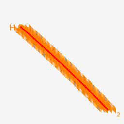 PPPPPPPPPPPPPPPPPPPPPPPPPPPPPPPPPPPPPPPPPPPPPPPPPPPPPPPPPPPPPPPPPPPPPPPPPPPPPPPPPPPPPPPPPPPPPPPPPPPPPPPPPPPPPPPPPPPPPPPPPPPPPPPPPPPPPPPPPPPPPPPPPPPP